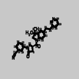 CC1(C)CN(C(=O)[C@H]2CC(=O)N(c3cccc(C#N)c3)C2)c2ccc(CCc3cccnn3)cc21